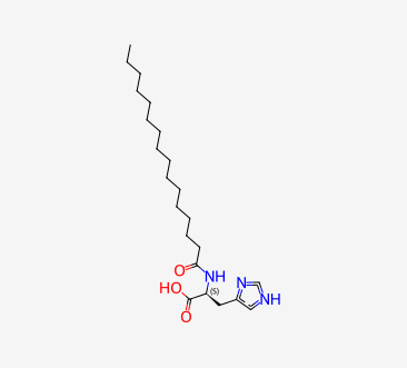 CCCCCCCCCCCCCCCC(=O)N[C@@H](Cc1c[nH]cn1)C(=O)O